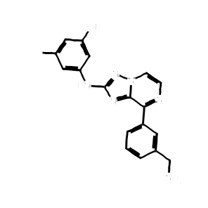 Cc1cc(C)cc(Nc2nc3c(-c4cccc(CN)c4)nccn3n2)c1